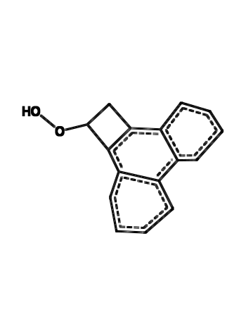 OOC1Cc2c1c1ccccc1c1ccccc21